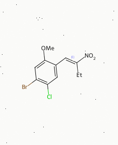 CC/C(=C\c1cc(Cl)c(Br)cc1OC)[N+](=O)[O-]